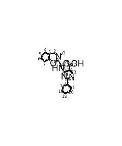 CN(Cc1ccccc1)C(=O)CNc1nc(-c2ccccc2)ncc1C(=O)O